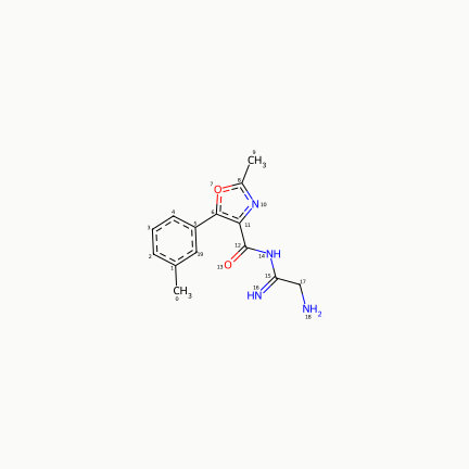 Cc1cccc(-c2oc(C)nc2C(=O)NC(=N)CN)c1